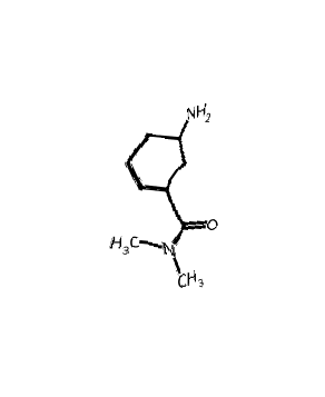 CN(C)C(=O)C1CCCC(N)C1